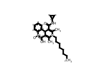 CCCCCCCCN1C(C)=C(C(=O)O)C(c2ccccc2[N+](=O)[O-])C(C(=O)NC2CC2)=C1C